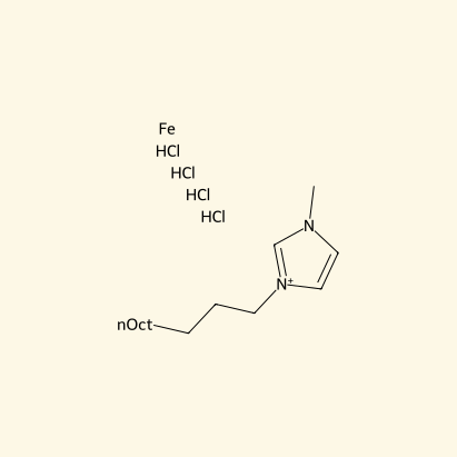 CCCCCCCCCCC[n+]1ccn(C)c1.Cl.Cl.Cl.Cl.[Fe]